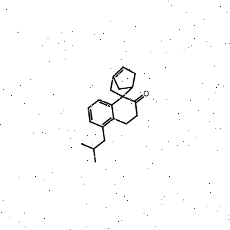 CC(C)Cc1cccc2c1CCC(=O)C21CC2=CCC1C2